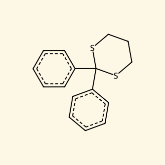 c1ccc(C2(c3ccccc3)SCCCS2)cc1